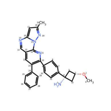 CO[C@H]1C[C@](N)(c2ccc(-c3nc4c(cnc5cc(C)nn54)cc3-c3ccccc3)cc2)C1